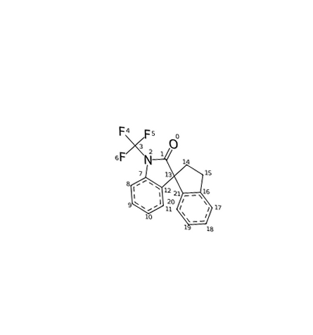 O=C1N(C(F)(F)F)c2ccccc2C12CCc1ccccc12